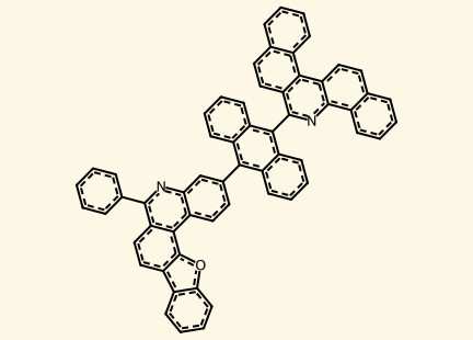 c1ccc(-c2nc3cc(-c4c5ccccc5c(-c5nc6c7ccccc7ccc6c6c5ccc5ccccc56)c5ccccc45)ccc3c3c2ccc2c4ccccc4oc23)cc1